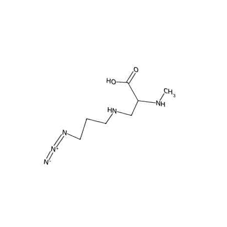 CNC(CNCCCN=[N+]=[N-])C(=O)O